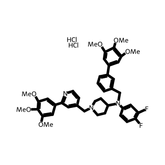 COc1cc(-c2cccc(CN(c3ccc(F)c(F)c3)C3CCN(Cc4ccnc(-c5cc(OC)c(OC)c(OC)c5)c4)CC3)c2)cc(OC)c1OC.Cl.Cl